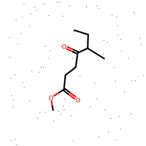 CCC(C)C(=O)CCC(=O)OC